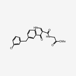 COC(=O)CNC(=O)c1c[nH]c2ccc(Cc3cccc(Cl)c3)cc2c1=O